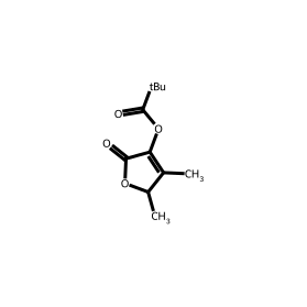 CC1=C(OC(=O)C(C)(C)C)C(=O)OC1C